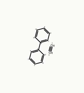 C#C.c1ccc(-c2ccccc2)cc1